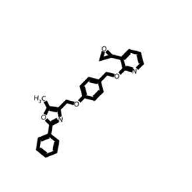 Cc1oc(-c2ccccc2)nc1COc1ccc(COc2ncccc2C2CO2)cc1